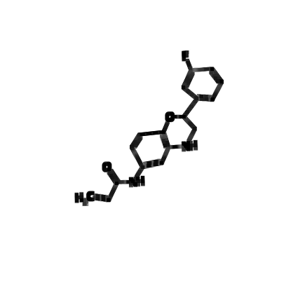 C=CC(=O)Nc1ccc2c(c1)NCC(c1cccc(F)c1)O2